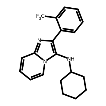 FC(F)(F)c1ccccc1-c1nc2ccccn2c1NC1CCCCC1